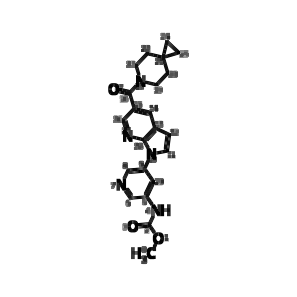 COC(=O)Nc1cncc(-n2ccc3cc(C(=O)N4CCC5(CC4)CC5)cnc32)c1